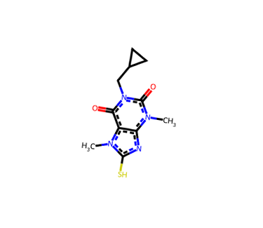 Cn1c(S)nc2c1c(=O)n(CC1CC1)c(=O)n2C